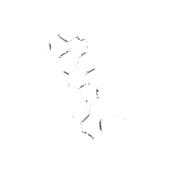 O=c1[nH]c2cc(-c3c(Cl)cccc3CO)ccc2c(=O)n1-c1cncc2ccccc12